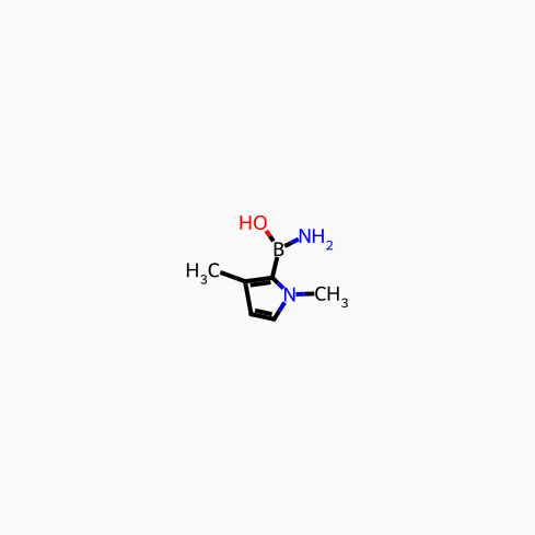 Cc1ccn(C)c1B(N)O